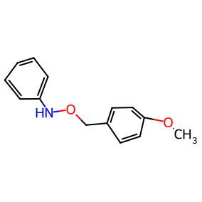 COc1ccc(CONc2ccccc2)cc1